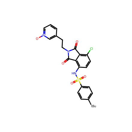 CC(C)(C)c1ccc(S(=O)(=O)Nc2ccc(Cl)c3c2C(=O)N(CCc2ccc[n+]([O-])c2)C3=O)cc1